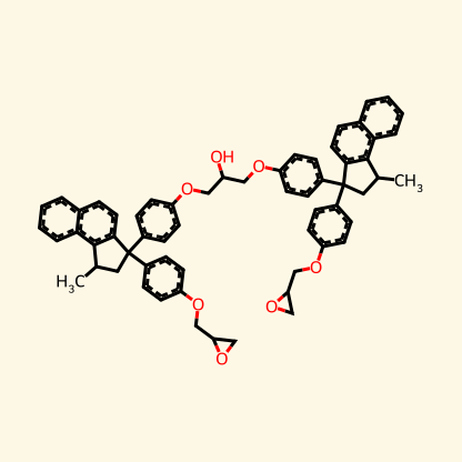 CC1CC(c2ccc(OCC(O)COc3ccc(C4(c5ccc(OCC6CO6)cc5)CC(C)c5c4ccc4ccccc54)cc3)cc2)(c2ccc(OCC3CO3)cc2)c2ccc3ccccc3c21